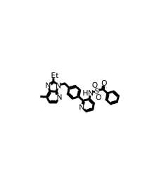 CCc1nc2c(C)ccnc2n1Cc1ccc(-c2ncccc2NS(=O)(=O)C(=O)c2ccccc2)cc1